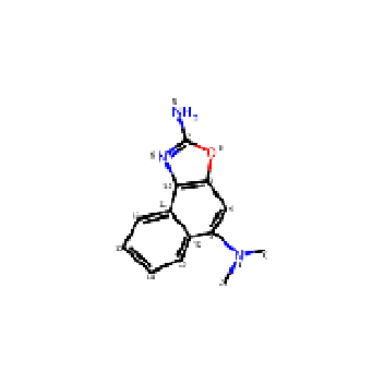 CN(C)c1cc2oc(N)nc2c2ccccc12